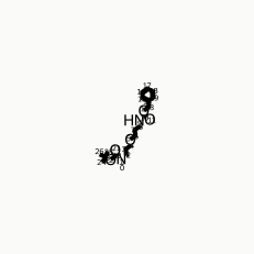 CN(CCCOCCCNC(=O)OCc1ccccc1)C(=O)OC(C)(C)C